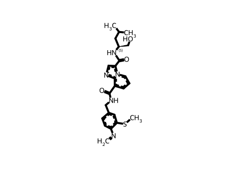 C=Nc1ccc(CNC(=O)c2cccn3c(C(=O)N[C@H](CO)CC(C)C)cnc23)cc1SC